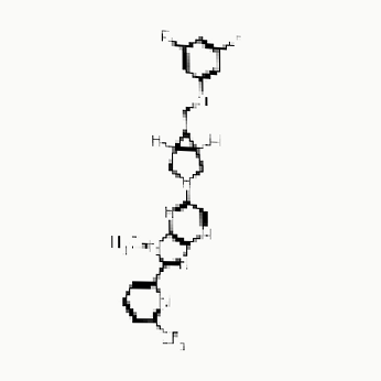 Cn1c(-c2cccc(C(F)(F)F)n2)nc2ncc(N3C[C@@H]4[C@@H](COc5cc(F)cc(F)c5)[C@@H]4C3)nc21